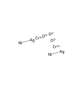 [Cr+3].[Cr+3].[Ni][Ag].[Ni][Ag].[O-2].[O-2].[O-2]